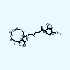 CCc1nn(CCCCC(=O)c2ccc(C)cc2C)c2c1C(=O)NCCCOCCC2